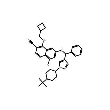 CC(C)(C)N1CCC(n2cc(C(Nc3cc(Cl)c4ncc(C#N)c(NCC5CCC5)c4c3)c3ccccc3)nn2)CC1